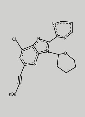 CCCCC#Cc1nc(Cl)c2nc(-c3ncccn3)n(C3CCCCO3)c2n1